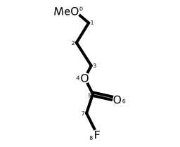 COCCCOC(=O)CF